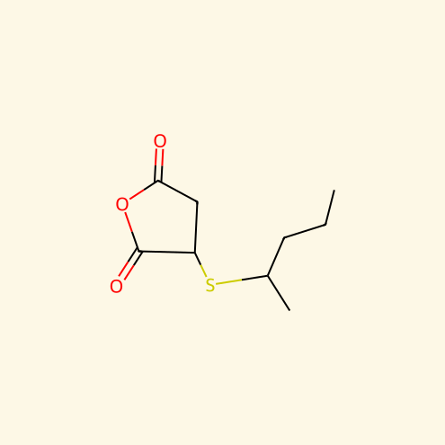 CCCC(C)SC1CC(=O)OC1=O